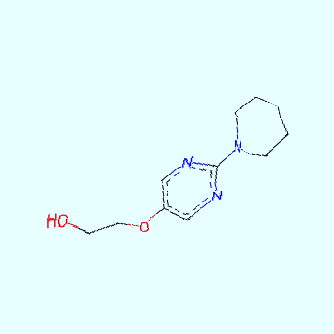 OCCOc1cnc(N2CCCCC2)nc1